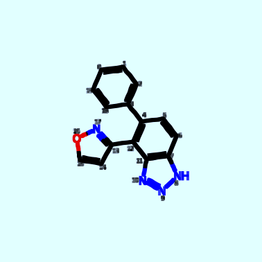 c1ccc(-c2ccc3[nH]nnc3c2-c2ccon2)cc1